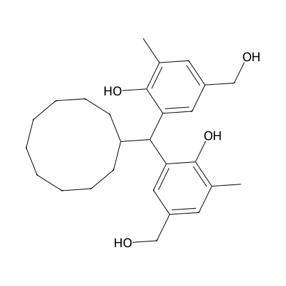 Cc1cc(CO)cc(C(c2cc(CO)cc(C)c2O)C2CCCCCCCCC2)c1O